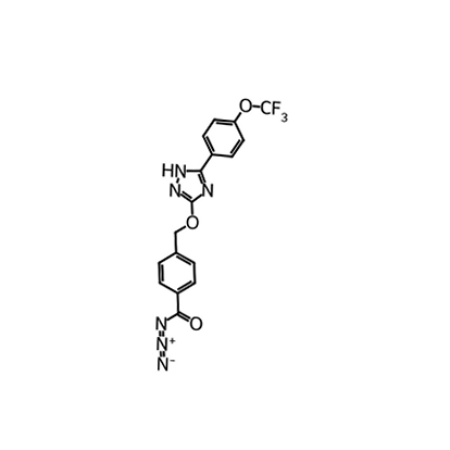 [N-]=[N+]=NC(=O)c1ccc(COc2n[nH]c(-c3ccc(OC(F)(F)F)cc3)n2)cc1